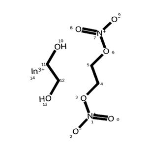 O=[N+]([O-])OCCO[N+](=O)[O-].OCCO.[In+3]